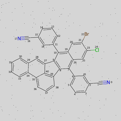 N#Cc1cccc(-c2c3c(c(-c4cccc(C#N)c4)c4cc(Br)c(Cl)cc24)-c2cc4ccccc4c4cccc-3c24)c1